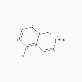 CCCCCC/C=[C]\c1c(C)cccc1C